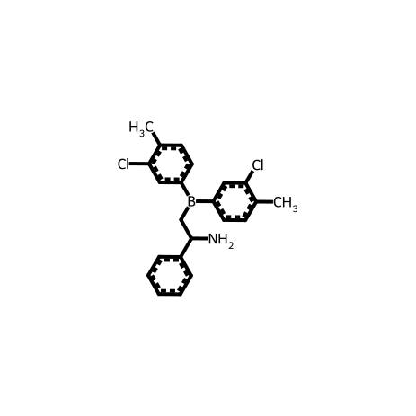 Cc1ccc(B(CC(N)c2ccccc2)c2ccc(C)c(Cl)c2)cc1Cl